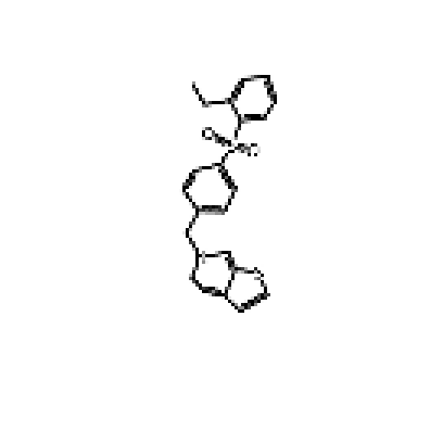 CCc1ccccc1S(=O)(=O)c1ccc(CN2C=c3sccc3=CC2)cc1